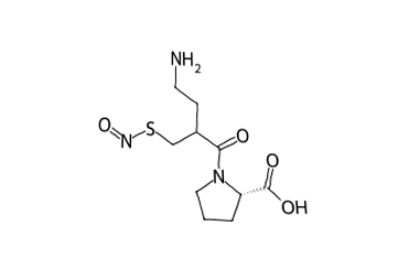 NCCC(CSN=O)C(=O)N1CCC[C@H]1C(=O)O